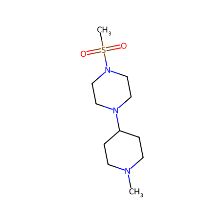 CN1CCC(N2CCN(S(C)(=O)=O)CC2)CC1